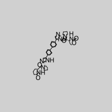 O=C1CCCC(C(=O)N2CCC[C@H]2c2ncc(-c3ccc(-c4ccc(-c5cnc([C@@H]6CCCN6C(=O)[C@@H]6CCOC(=O)N6)[nH]5)cc4)cc3)[nH]2)N1